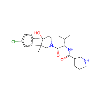 CC(C)C(NC(=O)C1CCCNC1)C(=O)N1CCC(O)(c2ccc(Cl)cc2)C(C)(C)C1